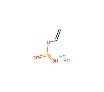 C=CO[PH](=O)O.Cl.Cl